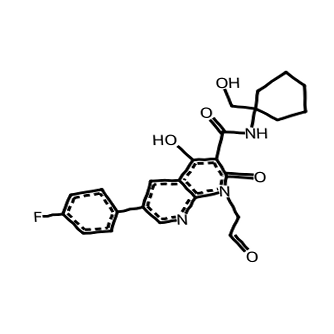 O=CCn1c(=O)c(C(=O)NC2(CO)CCCCC2)c(O)c2cc(-c3ccc(F)cc3)cnc21